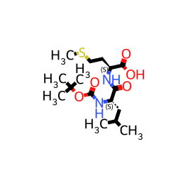 CSCC[C@H](NC(=O)[C@H](CC(C)C)NC(=O)OC(C)(C)C)C(=O)O